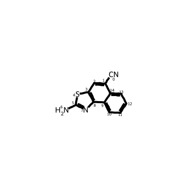 N#Cc1cc2sc(N)nc2c2ccccc12